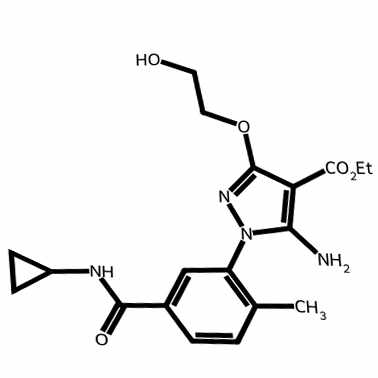 CCOC(=O)c1c(OCCO)nn(-c2cc(C(=O)NC3CC3)ccc2C)c1N